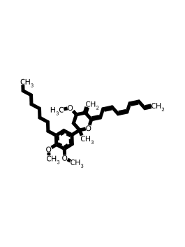 C=C\C=C/C=C\C=C/C=C1/OC(C)(c2cc(CCCCCCCC)c(OC)c(OC)c2)CC(OC)C1=C